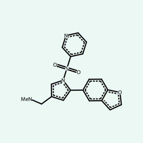 CNCc1cc(-c2ccc3occc3c2)n(S(=O)(=O)c2cccnc2)c1